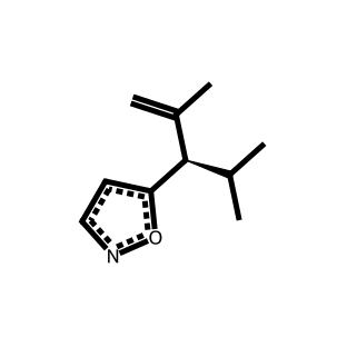 C=C(C)[C@H](c1ccno1)C(C)C